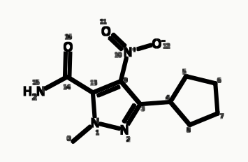 Cn1nc(C2CCCC2)c([N+](=O)[O-])c1C(N)=O